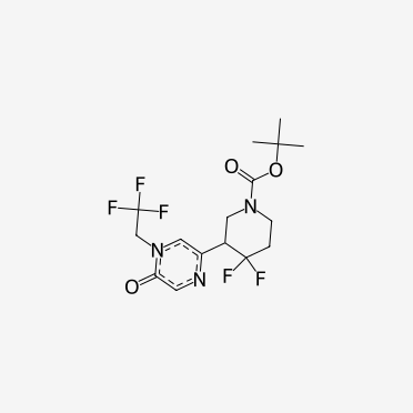 CC(C)(C)OC(=O)N1CCC(F)(F)C(c2cn(CC(F)(F)F)c(=O)cn2)C1